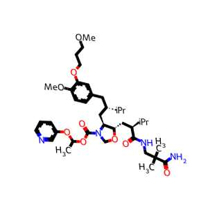 COCCCOc1cc(C[C@@H](C[C@H]2[C@H](C[C@H](C(=O)NCC(C)(C)C(N)=O)C(C)C)OCN2C(=O)OC(C)Oc2cccnc2)C(C)C)ccc1OC